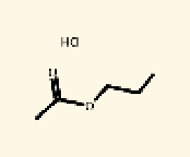 CCCOC(C)=O.Cl